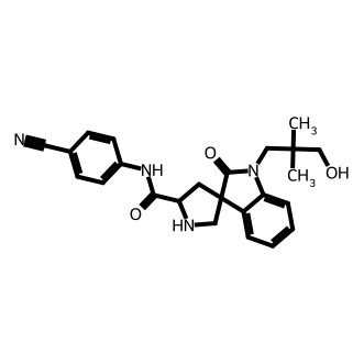 CC(C)(CO)CN1C(=O)C2(CNC(C(=O)Nc3ccc(C#N)cc3)C2)c2ccccc21